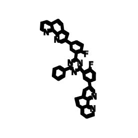 FC1=C(c2nc(-c3ccccc3)nc(-c3cc(-c4cnc5c(ccc6cccnc65)c4)ccc3F)n2)CC(c2cnc3c(ccc4cccnc43)c2)C=C1